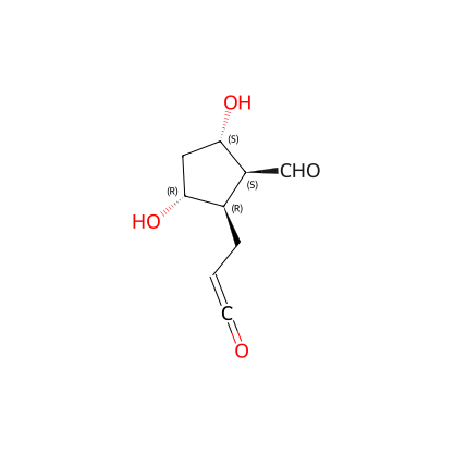 O=C=CC[C@@H]1[C@H](C=O)[C@@H](O)C[C@H]1O